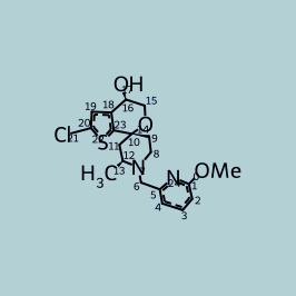 COc1cccc(CN2CC[C@]3(C[C@@H]2C)OC[C@H](O)c2cc(Cl)sc23)n1